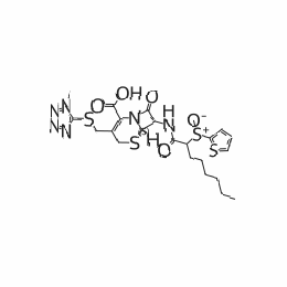 CCCCCCC(C(=O)NC1C(=O)N2C(C(=O)O)=C(CSc3nnnn3C)CS[C@@H]12)[S+]([O-])c1cccs1